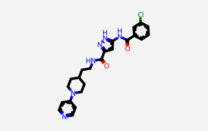 O=C(Nc1cc(C(=O)NCCC2CCN(c3ccncc3)CC2)n[nH]1)c1cccc(Cl)c1